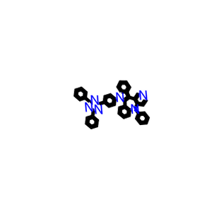 c1ccc(-c2nc(-c3ccccc3)nc(-c3ccc(-n4c5c(c6ccccc64)-c4cnccc4N(c4ccccc4)c4ccccc4-5)cc3)n2)cc1